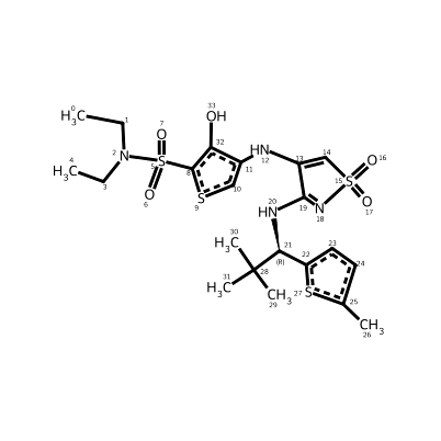 CCN(CC)S(=O)(=O)c1scc(NC2=CS(=O)(=O)N=C2N[C@@H](c2ccc(C)s2)C(C)(C)C)c1O